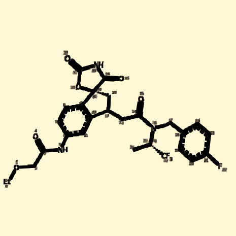 CCOCC(=O)Nc1ccc2c(c1)C(CC(=O)N(Cc1ccc(F)cc1)[C@@H](C)C(F)(F)F)C[C@@]21OC(=O)NC1=O